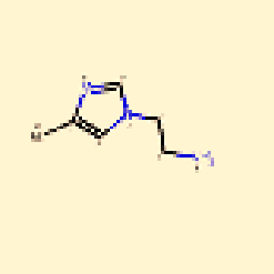 CCc1cn(CCN)cn1